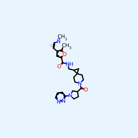 C=N/C=C\c1cc(C(=O)NCC2CC23CCN(C(=O)C2CCN(c4cccnn4)C2)CC3)oc1C